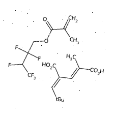 C=C(C)C(=O)OCC(F)(F)C(F)C(F)(F)F.CC(=CC(=CC(C)(C)C)C(=O)O)C(=O)O